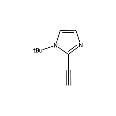 C#Cc1nccn1C(C)(C)C